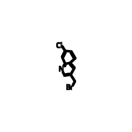 Clc1ccc2cc(CBr)cnc2c1